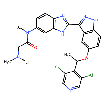 CC(Oc1ccc2[nH]nc(-c3nc4ccc(N(C)C(=O)CN(C)C)cc4[nH]3)c2c1)c1c(Cl)cncc1Cl